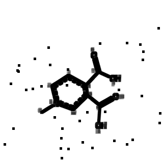 C[n+]1ccc(C(=O)O)c(C(=O)O)c1